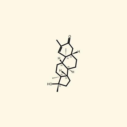 CC1=C[C@@]2(C)[C@@H](CC[C@@H]3[C@@H]2CC[C@@]2(C)[C@H]3CC[C@]2(C)O)CC1=O